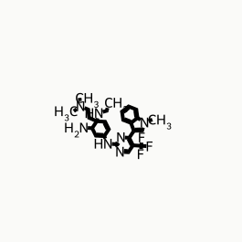 CCNC1(CCN(C)C)C=CC(Nc2ncc(C(F)(F)F)c(-c3cn(C)c4ccccc34)n2)=CC1N